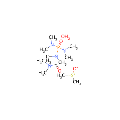 CN(C)C=O.CN(C)P(=O)(N(C)C)N(C)C.C[S+](C)[O-].O